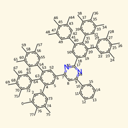 Cc1cc(-c2cc(-c3cc(-c4ccccc4)nc(-c4cc(-c5cc(C)c(C)c(C)c5)c(-c5cc(C)c(C)c(C)c5)c(-c5cc(C)c(C)c(C)c5)c4)n3)cc(-c3cc(C)c(C)c(C)c3)c2-c2cc(C)c(C)c(C)c2)cc(C)c1C